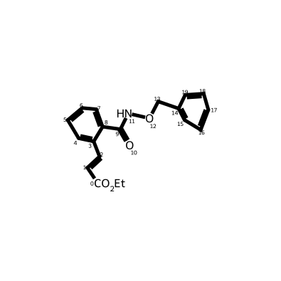 CCOC(=O)C=Cc1ccccc1C(=O)NOCc1ccccc1